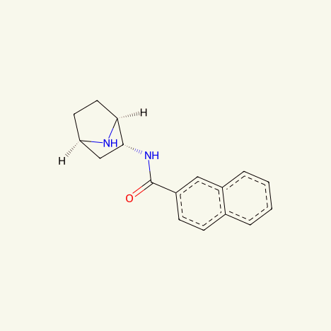 O=C(N[C@@H]1C[C@H]2CC[C@@H]1N2)c1ccc2ccccc2c1